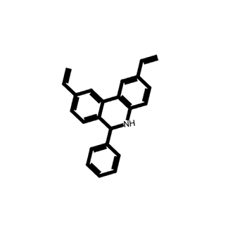 C=Cc1ccc2c(c1)-c1cc(C=C)ccc1C(c1ccccc1)N2